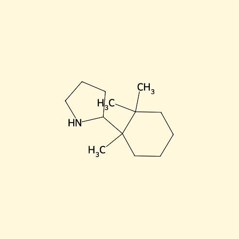 CC1(C)CCCCC1(C)C1CCCN1